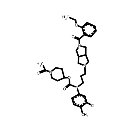 CCOc1ccccc1C(=O)N1CC2CN(CCCN(C(=O)OC3CCN(C(C)=O)CC3)c3ccc(C)c(Cl)c3)CC2C1